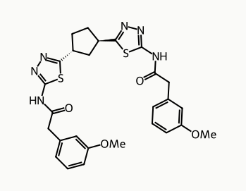 COc1cccc(CC(=O)Nc2nnc([C@@H]3CC[C@@H](c4nnc(NC(=O)Cc5cccc(OC)c5)s4)C3)s2)c1